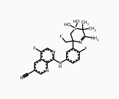 CC1(C)C(N)=NC(CF)(c2cc(Nc3ncc(F)c4cc(C#N)cnc34)ccc2F)CS1(O)O